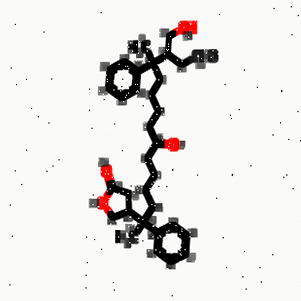 CC(CCCCC(=O)CCCCC(C)(c1ccccc1)C1COC(=O)C1)(c1ccccc1)C(CO)CC=O